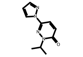 CC(C)n1nc(-n2cccn2)ccc1=O